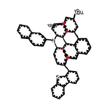 CC(C)(C)c1cc(-c2cccc3cccc(-c4ccccc4N(c4ccc(-c5cccc6c5sc5ccccc56)cc4)c4ccc5ccccc5c4)c23)cc(C(C)(C)C)c1